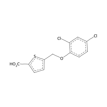 O=C(O)c1ccc(COc2ccc(Cl)cc2Cl)s1